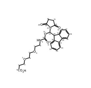 O=C(O)CCOCCOCCNC(=O)OC(C1c2ccccc2-c2ccccc21)N1C(=O)CCC1=O